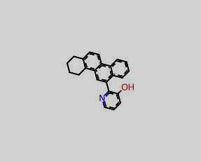 Oc1cccnc1-c1cc2c3c(ccc2c2ccccc12)CCCC3